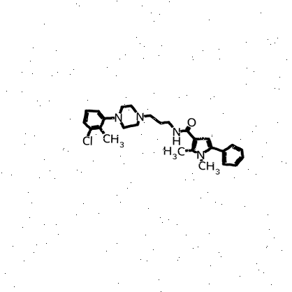 Cc1c(Cl)cccc1N1CCN(CCCNC(=O)c2cc(-c3ccccc3)n(C)c2C)CC1